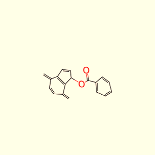 C=c1ccc(=C)c2c1C=CC2OC(=O)c1ccccc1